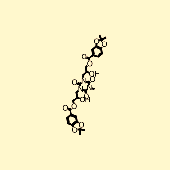 Cn1c(=O)n(CC(O)COC(=O)c2ccc3c(c2)OC(C)(C)O3)c(=O)n(CC(O)COC(=O)c2ccc3c(c2)OC(C)(C)O3)c1=O